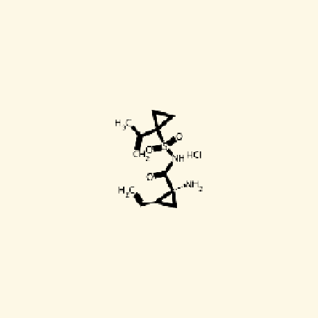 C=C[C@@H]1C[C@]1(N)C(=O)NS(=O)(=O)C1(C(=C)C)CC1.Cl